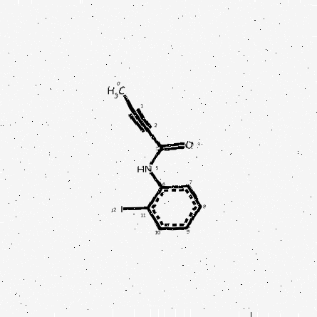 CC#CC(=O)Nc1ccccc1I